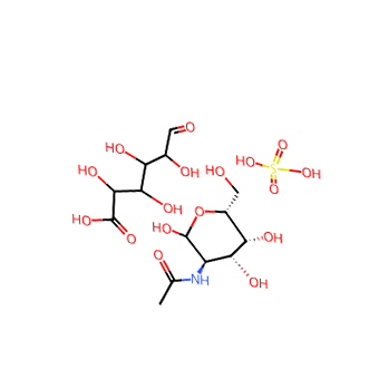 CC(=O)N[C@H]1C(O)O[C@H](CO)[C@H](O)[C@@H]1O.O=CC(O)C(O)C(O)C(O)C(=O)O.O=S(=O)(O)O